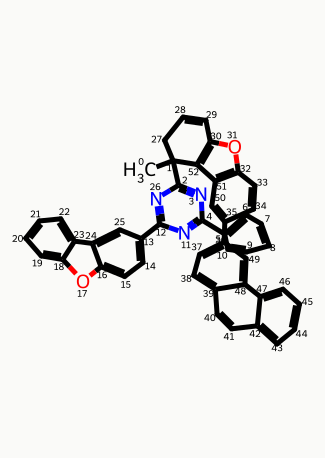 CC1(c2nc(-c3ccccc3)nc(-c3ccc4oc5ccccc5c4c3)n2)CC=Cc2oc3ccc(-c4ccc5ccc6ccccc6c5c4)cc3c21